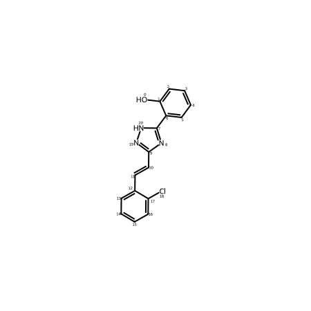 Oc1ccccc1-c1nc(C=Cc2ccccc2Cl)n[nH]1